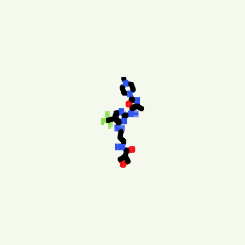 Cc1nc(N2CCN(C)CC2)oc1Nc1ncc(C(F)(F)F)c(NCCCNC(=O)C2COC2)n1